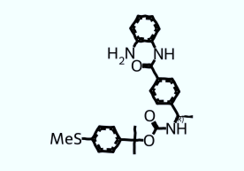 CSc1ccc(C(C)(C)OC(=O)N[C@H](C)c2ccc(C(=O)Nc3ccccc3N)cc2)cc1